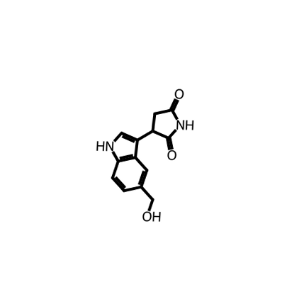 O=C1CC(c2c[nH]c3ccc(CO)cc23)C(=O)N1